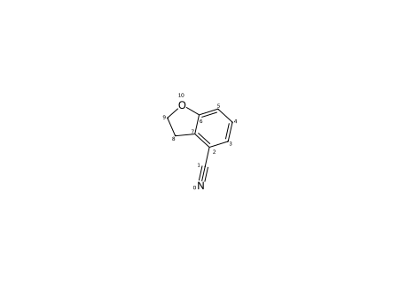 N#Cc1cccc2c1CCO2